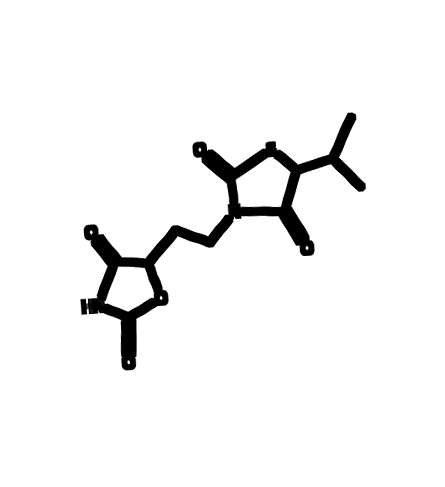 CC(C)C1SC(=O)N(CCC2OC(=O)NC2=O)C1=O